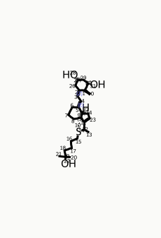 C=C1/C(=C\C=C2/CCC[C@]3(C)C(C(C)SCCCCC(C)(C)O)=CC[C@@H]23)C[C@@H](O)C[C@@H]1O